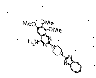 COc1cc2c(N)nc(N3CCN(c4nc5cccccc-5n4)CC3)nc2c(OC)c1OC